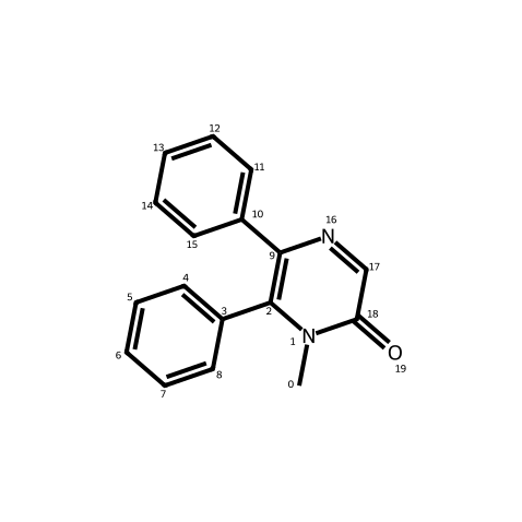 Cn1c(-c2ccccc2)c(-c2ccccc2)ncc1=O